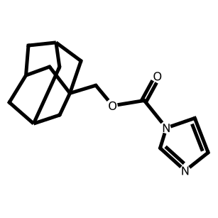 O=C(OCC12CC3CC(CC(C3)C1)C2)n1ccnc1